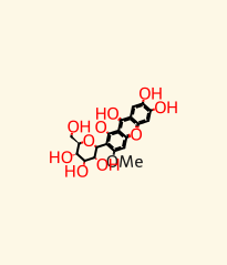 COc1cc2oc3cc(O)c(O)cc3c(=O)c2c(O)c1C1O[C@H](CO)[C@@H](O)[C@H](O)[C@H]1O